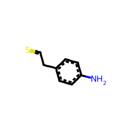 Nc1ccc(CC=S)cc1